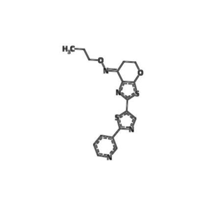 CCCO/N=C1\CCOc2sc(-c3cnc(-c4cccnc4)s3)nc21